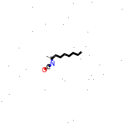 CCCCCCC[C@@H](C)N=C=O